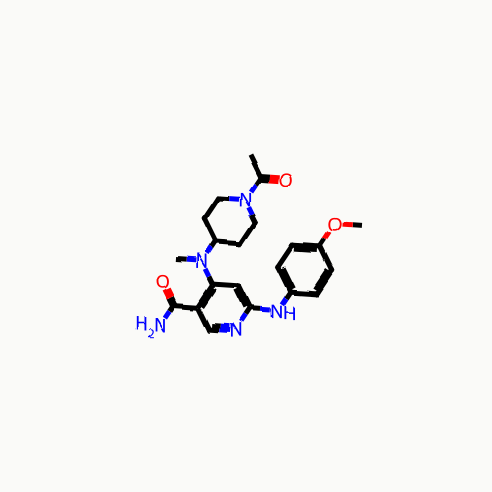 COc1ccc(Nc2cc(N(C)C3CCN(C(C)=O)CC3)c(C(N)=O)cn2)cc1